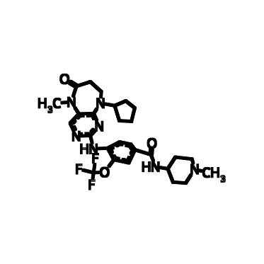 CN1CCC(NC(=O)c2ccc(Nc3ncc4c(n3)N(C3CCCC3)CCC(=O)N4C)c(OC(F)(F)F)c2)CC1